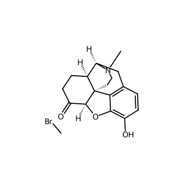 CBr.CN1CC[C@]23c4c5ccc(O)c4O[C@H]2C(=O)CC[C@H]3[C@H]1C5